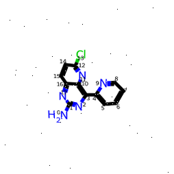 Nc1nc(-c2ccccn2)c2nc(Cl)ccc2n1